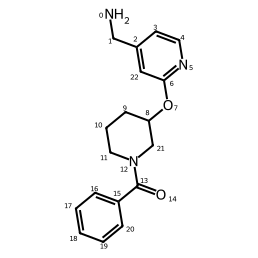 NCc1ccnc(OC2CCCN(C(=O)c3ccccc3)C2)c1